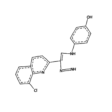 N=N/C(=C\Nc1ccc(O)cc1)c1ccc2cccc(Cl)c2n1